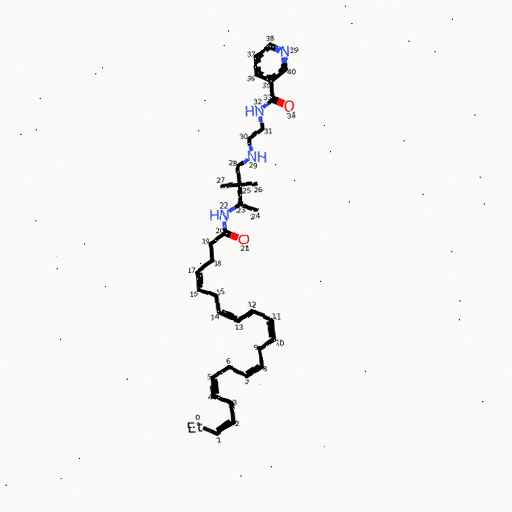 CC/C=C\C/C=C\C/C=C\C/C=C\C/C=C\C/C=C\CCC(=O)NC(C)C(C)(C)CNCCNC(=O)c1cccnc1